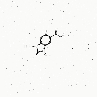 CCCCSCC(=O)c1cc2c(cc1Cl)n(C)c(=O)n2C